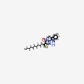 CCCCCCCCCCc1csc2nc3n(c(=O)c12)CCc1c-3[nH]c2ccccc12